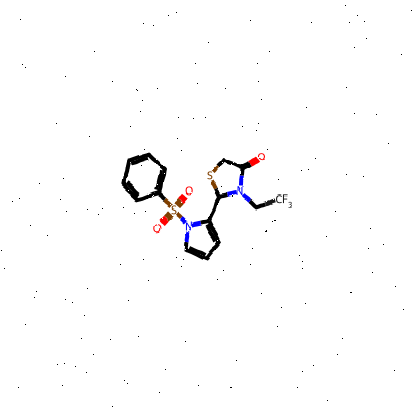 O=C1CSC(c2cccn2S(=O)(=O)c2ccccc2)N1CC(F)(F)F